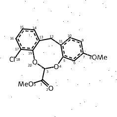 COC(=O)C1Oc2cc(OC)ccc2Cc2cccc(Cl)c2O1